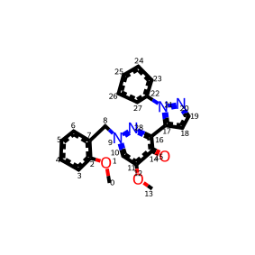 COc1ccccc1Cn1cc(OC)c(=O)c(-c2ccnn2-c2ccccc2)n1